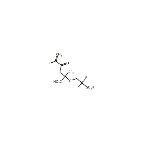 C=C(F)C(=O)OC(OCC(F)(F)S(=O)(=O)O)(C(=O)O)C(F)(F)F